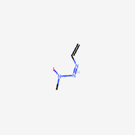 C=C/N=N\N(C)I